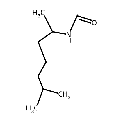 CC(C)CCCC(C)N[C]=O